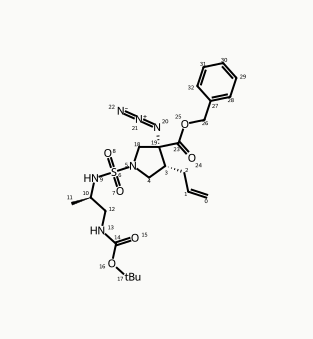 C=CC[C@@H]1CN(S(=O)(=O)N[C@H](C)CNC(=O)OC(C)(C)C)C[C@@]1(N=[N+]=[N-])C(=O)OCc1ccccc1